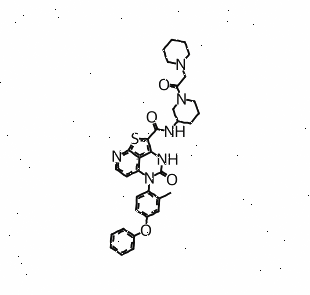 Cc1cc(Oc2ccccc2)ccc1N1C(=O)Nc2c(C(=O)NC3CCCN(C(=O)CN4CCCCC4)C3)sc3nccc1c23